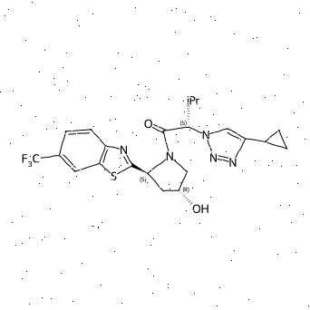 CC(C)[C@@H](C(=O)N1C[C@H](O)C[C@H]1c1nc2ccc(C(F)(F)F)cc2s1)n1cc(C2CC2)nn1